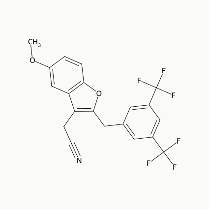 COc1ccc2oc(Cc3cc(C(F)(F)F)cc(C(F)(F)F)c3)c(CC#N)c2c1